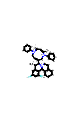 C/C1=C/C(C)=[N+](/c2ccccc2)C/C=C(/C2C(C)c3cc(F)cc(F)c3-c3c4ccccc4cc[n+]32)CN1c1ccccc1